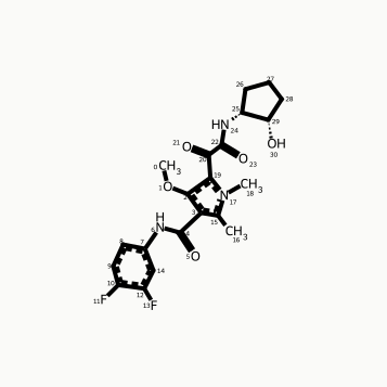 COc1c(C(=O)Nc2ccc(F)c(F)c2)c(C)n(C)c1C(=O)C(=O)N[C@@H]1CCC[C@@H]1O